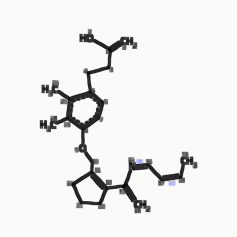 C=C(O)CCc1ccc(OCC2=C(C(=C)/N=C\C=C/C)CCC2)c(C)c1C